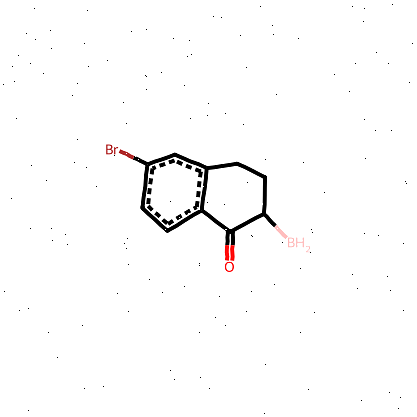 BC1CCc2cc(Br)ccc2C1=O